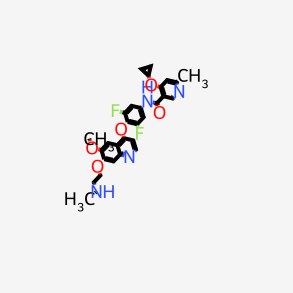 CNCCOc1cc2nccc(Oc3c(F)cc(NC(=O)c4cnc(C)cc4OC4CC4)cc3F)c2cc1OC